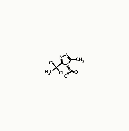 CC1=NN=C(C(C)(Cl)Cl)S1=S(=O)=O